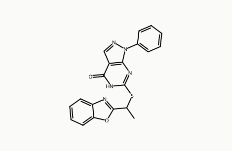 CC(Sc1nc2c(cnn2-c2ccccc2)c(=O)[nH]1)c1nc2ccccc2o1